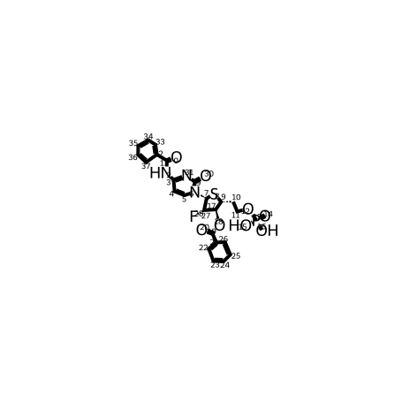 O=C(Nc1ccn([C@@H]2S[C@H](CCOP(=O)(O)O)[C@@H](OC(=O)c3ccccc3)[C@@H]2F)c(=O)n1)c1ccccc1